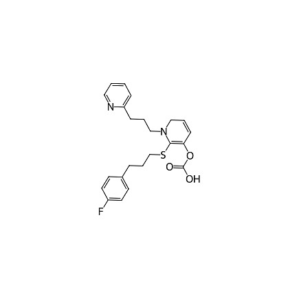 O=C(O)OC1=C(SCCCc2ccc(F)cc2)N(CCCc2ccccn2)CC=C1